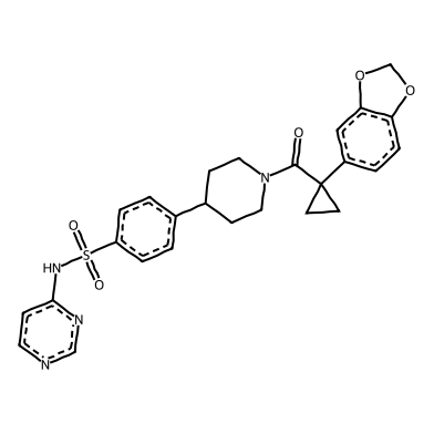 O=C(N1CCC(c2ccc(S(=O)(=O)Nc3ccncn3)cc2)CC1)C1(c2ccc3c(c2)OCO3)CC1